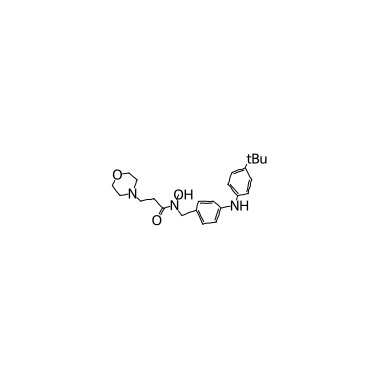 CC(C)(C)c1ccc(Nc2ccc(CN(O)C(=O)CCN3CCOCC3)cc2)cc1